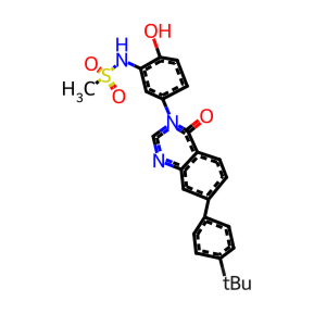 CC(C)(C)c1ccc(-c2ccc3c(=O)n(-c4ccc(O)c(NS(C)(=O)=O)c4)cnc3c2)cc1